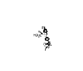 CCc1ccc(COc2ccc(-c3nn(C)c(OC(F)F)c3Cl)cc2)c(OC(CF)C(=O)O)c1